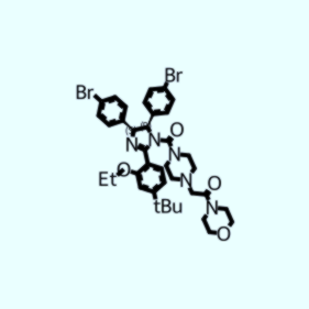 CCOc1cc(C(C)(C)C)ccc1C1=N[C@@H](c2ccc(Br)cc2)[C@@H](c2ccc(Br)cc2)N1C(=O)N1CCN(CC(=O)N2CCOCC2)CC1